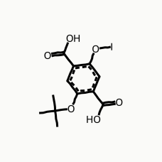 CC(C)(C)Oc1cc(C(=O)O)c(OI)cc1C(=O)O